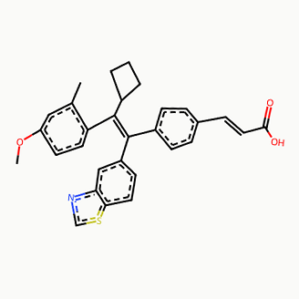 COc1ccc(C(=C(c2ccc(C=CC(=O)O)cc2)c2ccc3scnc3c2)C2CCC2)c(C)c1